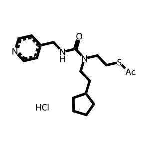 CC(=O)SCCN(CCC1CCCC1)C(=O)NCc1ccncc1.Cl